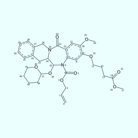 C=CCOC(=O)N1c2cc(OCCCC(=O)OC)c(OC)cc2C(=O)N2Cc3ccccc3CC2C1OC1CCCCO1